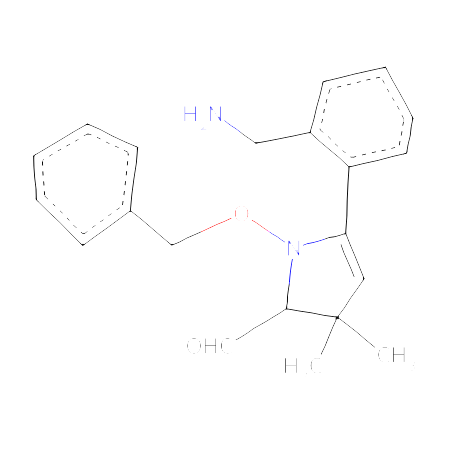 CC1(C)C=C(c2ccccc2CN)N(OCc2ccccc2)C1C=O